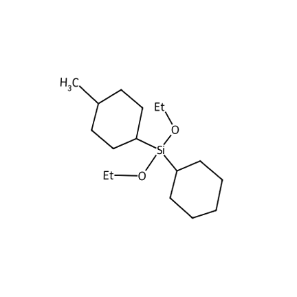 CCO[Si](OCC)(C1CCCCC1)C1CCC(C)CC1